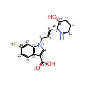 O=C(O)c1cn(C/C=C/[C@H]2NCCC[C@@H]2O)c2cc(F)ccc12